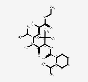 CCOC(=O)/C(C)=C/[C@@H](C(C)C)N(C)C(=O)C(NC(=O)[C@@H]1CCCCN1C(C)C)C(C)(C)C